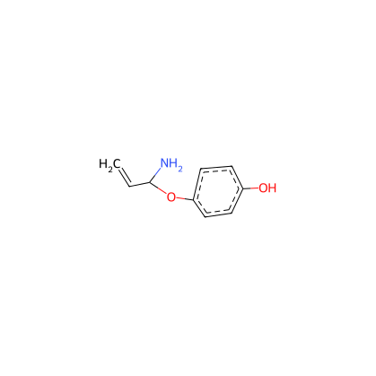 C=CC(N)Oc1ccc(O)cc1